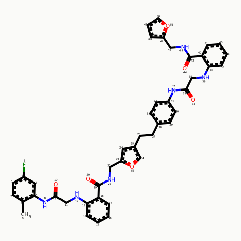 Cc1ccc(F)cc1NC(=O)CNc1ccccc1C(=O)NCc1cc(CCc2ccc(NC(=O)CNc3ccccc3C(=O)NCc3ccco3)cc2)co1